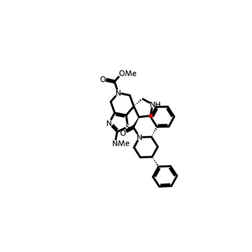 CNc1nc2c(s1)[C@@]1(CNC[C@H]1C(=O)N1CC[C@@H](c3ccccc3)C[C@H]1c1ccccc1)CN(C(=O)OC)C2